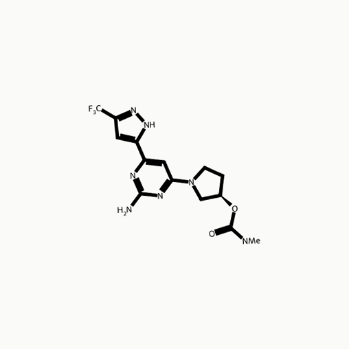 CNC(=O)O[C@@H]1CCN(c2cc(-c3cc(C(F)(F)F)n[nH]3)nc(N)n2)C1